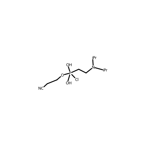 CC(C)N(CCP(O)(O)(Cl)OCCC#N)C(C)C